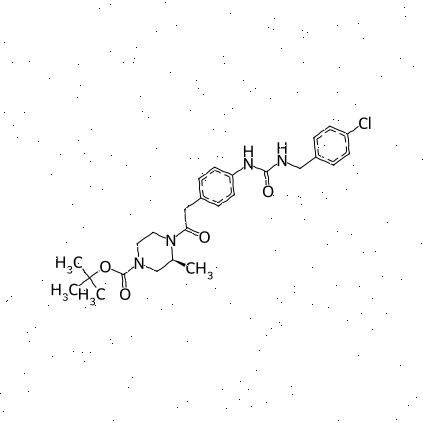 C[C@H]1CN(C(=O)OC(C)(C)C)CCN1C(=O)Cc1ccc(NC(=O)NCc2ccc(Cl)cc2)cc1